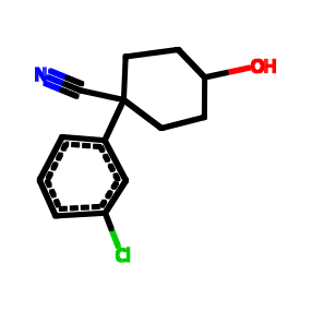 N#CC1(c2cccc(Cl)c2)CCC(O)CC1